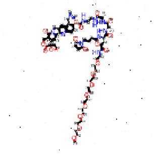 CCC1(O)C(=O)OCc2c1cc1n(c2=O)Cc2cc3c(CN(C)C)c(OC(=O)NCCNC(=O)[C@H](C)NC(=O)[C@H](C)NC(=O)[C@@H](CCC(=O)NCCOCCOCCOCCOCCOCCOCCOCCOC)NC(=O)CCCN4C(=O)C=CC4=O)ccc3nc2-1